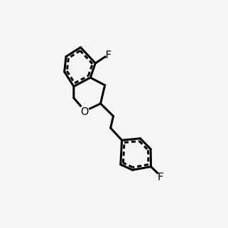 Fc1ccc(CCC2Cc3c(F)cccc3CO2)cc1